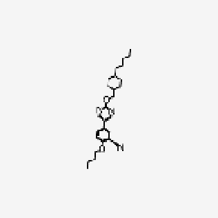 CCCCCC1CCC(COc2ncc(-c3ccc(OCCCC)c(C#N)c3)cn2)CC1